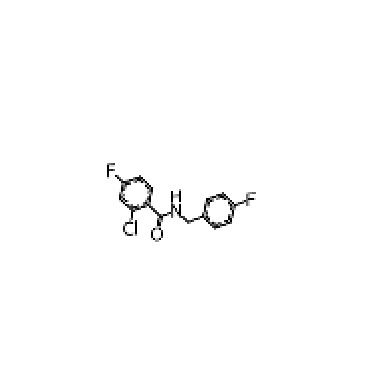 O=C(NCc1ccc(F)cc1)c1ccc(F)cc1Cl